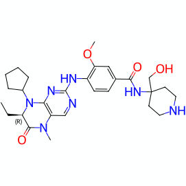 CC[C@@H]1C(=O)N(C)c2cnc(Nc3ccc(C(=O)NC4(CO)CCNCC4)cc3OC)nc2N1C1CCCC1